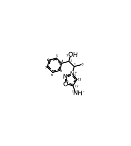 CC(C(O)c1ccccc1)[n+]1cc([NH-])on1